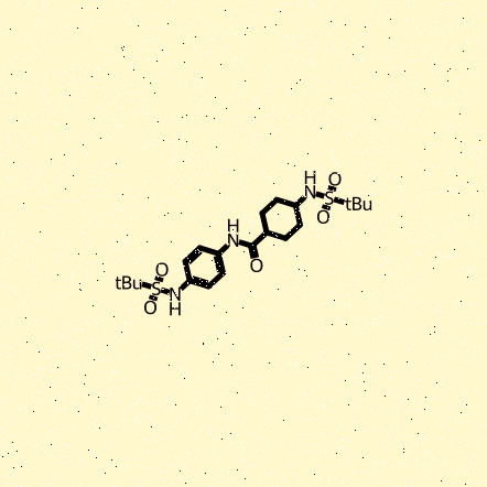 CC(C)(C)S(=O)(=O)Nc1ccc(NC(=O)C2CCC(NS(=O)(=O)C(C)(C)C)CC2)cc1